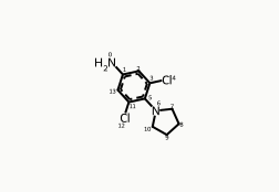 Nc1cc(Cl)c(N2CCCC2)c(Cl)c1